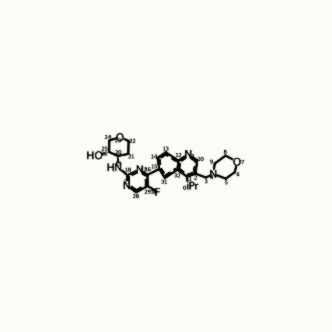 CC(C)c1c(CN2CCOCC2)cnc2ccc(-c3nc(N[C@@H]4CCOC[C@H]4O)ncc3F)cc12